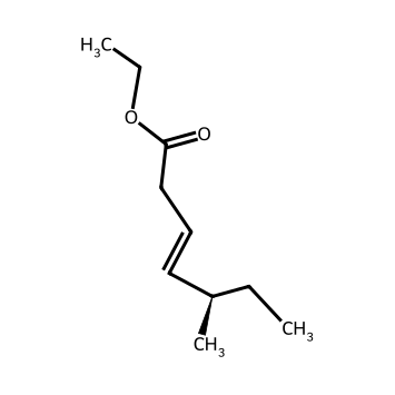 CCOC(=O)CC=C[C@H](C)CC